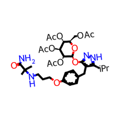 CC(=O)OC[C@H]1O[C@@H](Oc2n[nH]c(C(C)C)c2Cc2ccc(OCCCNC(C)(C)C(N)=O)cc2)[C@H](OC(C)=O)[C@@H](OC(C)=O)[C@@H]1OC(C)=O